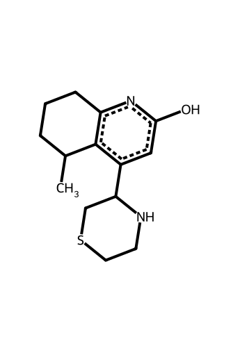 CC1CCCc2nc(O)cc(C3CSCCN3)c21